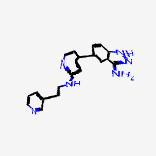 Nc1n[nH]c2ccc(-c3ccnc(NCCc4cccnc4)c3)cc12